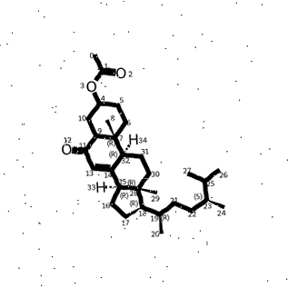 CC(=O)OC1CC[C@@]2(C)C(C1)C(=O)C=C1[C@@H]3CC[C@H]([C@H](C)CC[C@H](C)C(C)C)[C@@]3(C)CC[C@@H]12